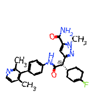 Cc1ccnc(C)c1-c1ccc(NC(=O)[C@H](c2cc(C(N)=O)n(C)n2)C2CC=C(F)CC2)cc1